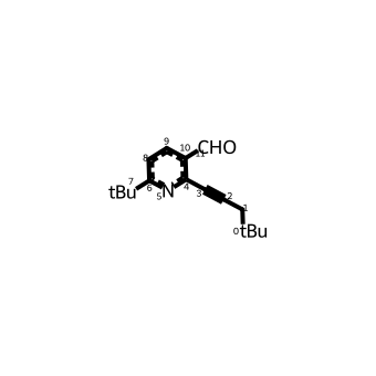 CC(C)(C)CC#Cc1nc(C(C)(C)C)ccc1C=O